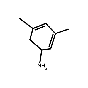 CC1=CC(N)CC(C)=C1